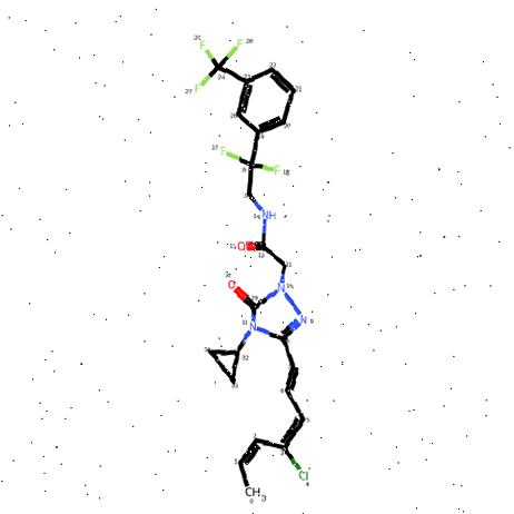 C\C=C/C(Cl)=C\C=C\c1nn(CC(=O)NCC(F)(F)c2cccc(C(F)(F)F)c2)c(=O)n1C1CC1